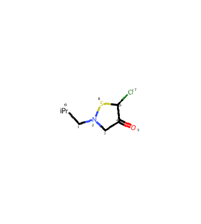 CC(C)CN1CC(=O)C(Cl)S1